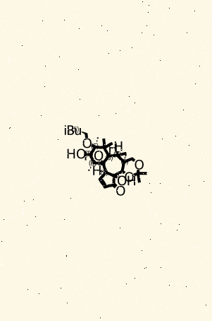 CC[C@H](C)CO[C@]1(C)[C@H](O)[C@@H](C)[C@@]2(O)[C@@H]([C@@H]3C[C@@]34COC(C)(C)OC4[C@]3(O)C(=O)C=C[C@@H]23)C1(C)C